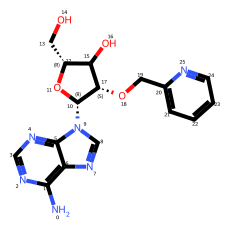 Nc1ncnc2c1ncn2[C@@H]1O[C@H](CO)C(O)[C@@H]1OCc1ccccn1